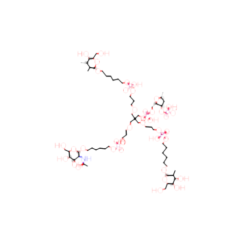 COP(=O)(O)O[C@H]1C[C@H](C)O[C@@H]1COP(=O)(O)OCC(COCCCOP(=O)(O)OCCCCCCO[C@@H]1OC(CO)[C@H](O)[C@H](C)C1C)(COCCCOP(=O)(O)OCCCCCCO[C@@H]1OC(CO)[C@H](O)[C@H](O)C1C)COCCCOP(=O)(O)OCCCCCCO[C@@H]1OC(CO)[C@H](O)[C@H](O)C1NC(C)=O